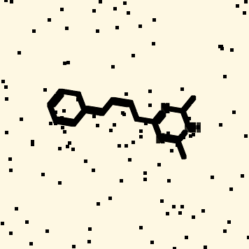 CC1=NC(C/C=C\C=C2\C=CC=CC2)=NC(C)N1